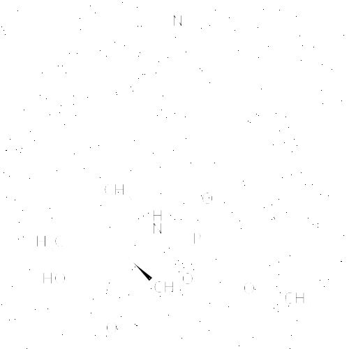 COCP(=O)(N[C@](C)(C(=O)O)C(C)C)Oc1cccc(C#N)c1